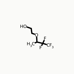 CC(OCCO)C(F)(F)C(F)(F)F